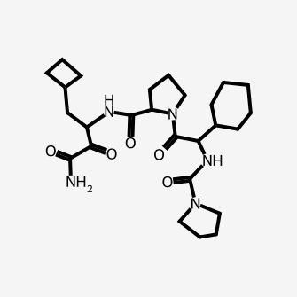 NC(=O)C(=O)C(CC1CCC1)NC(=O)C1CCCN1C(=O)C(NC(=O)N1CCCC1)C1CCCCC1